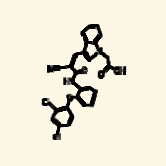 N#CC(=Cc1cn(CC(=O)O)c2ccccc12)C(=O)Nc1ccccc1Oc1ccc(Cl)cc1Cl